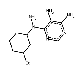 CCC1CCCC(N(N)c2ncnc(N)c2N)C1